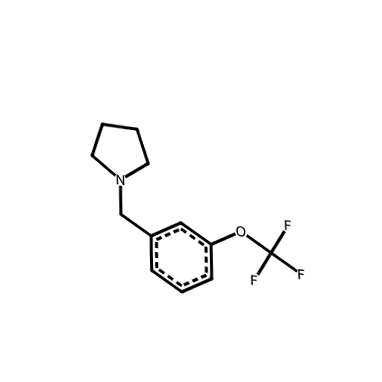 FC(F)(F)Oc1cccc(CN2CCCC2)c1